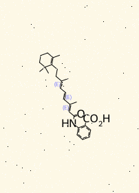 CC1=C(CC/C(C)=C/C=C/C(C)=C/C(=O)Nc2ccccc2C(=O)O)C(C)(C)CCC1